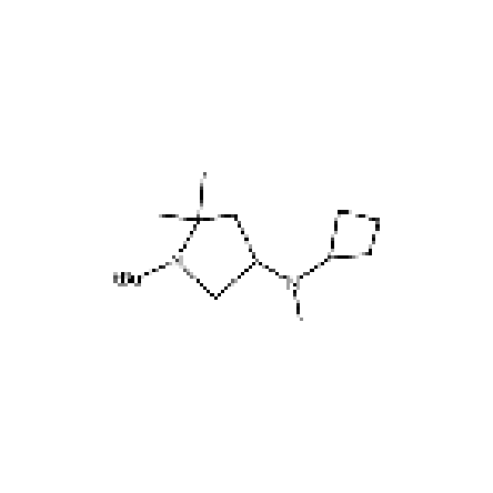 CN(C1CCC1)C1CN(C(C)(C)C)C(C)(C)C1